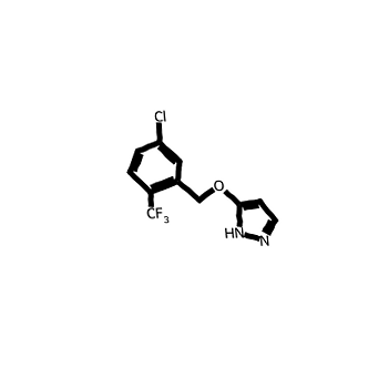 FC(F)(F)c1ccc(Cl)cc1COc1ccn[nH]1